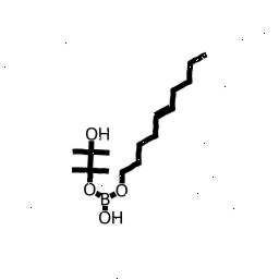 CCCCC=CCCCCOB(O)OC(C)(C)C(C)(C)O